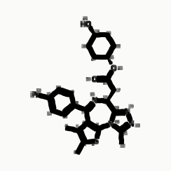 Cc1sc2c(c1C)C(c1ccc(C(C)C)cc1)=N[C@@H](CC(=O)O[C@H]1CC[C@H](O)CC1)c1nnc(C)n1-2